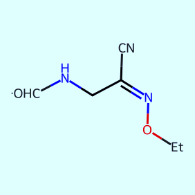 CCON=C(C#N)CN[C]=O